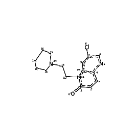 O=c1ccc2ncc(Cl)cc2n1CCN1CC[CH]CC1